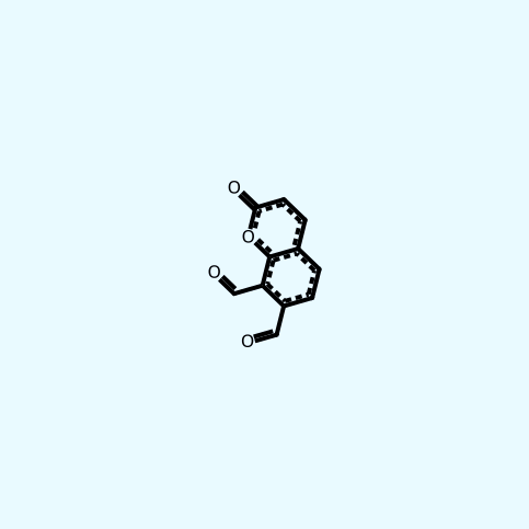 O=Cc1ccc2ccc(=O)oc2c1C=O